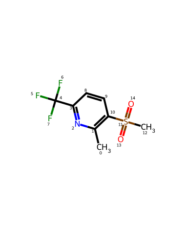 Cc1nc(C(F)(F)F)ccc1S(C)(=O)=O